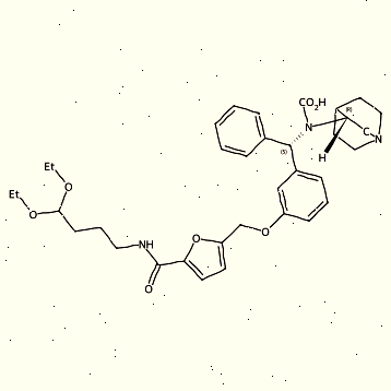 CCOC(CCCNC(=O)c1ccc(COc2cccc([C@H](c3ccccc3)N(C(=O)O)[C@H]3CN4CCC3CC4)c2)o1)OCC